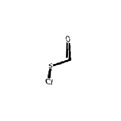 O=CSCl